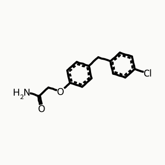 NC(=O)COc1ccc(Cc2ccc(Cl)cc2)cc1